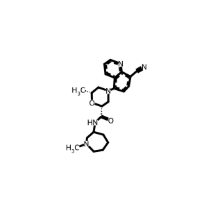 C[C@@H]1CN(c2ccc(C#N)c3ncccc23)C[C@H](C(=O)NC2CCCCN(C)C2)O1